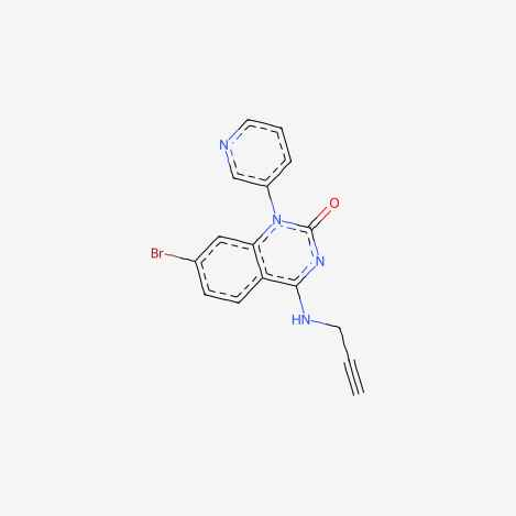 C#CCNc1nc(=O)n(-c2cccnc2)c2cc(Br)ccc12